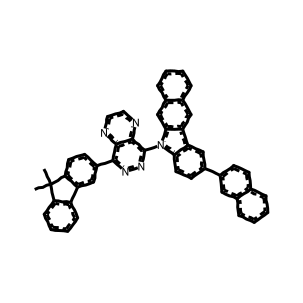 CC1(C)c2ccccc2-c2cc(-c3nnc(-n4c5ccc(-c6ccc7ccccc7c6)cc5c5cc6ccccc6cc54)c4nccnc34)ccc21